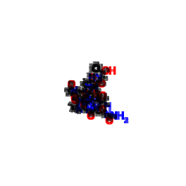 CC[C@H](C)[C@@H]([C@@H](CC(=O)N1CCC[C@H]1[C@H](OC)[C@@H](C)C(=O)N[C@H](C)[C@@H](O)c1ccccc1)OC)N(C)C(=O)C(NC(=O)[C@H](C(C)C)N(C)C(=O)CNC(=O)[C@H](CCCNC(N)=O)NC(=O)C(NC(=O)CCN(C)CCN(C)CCCN1C(=O)C=CC1=O)C(C)C)C(C)C